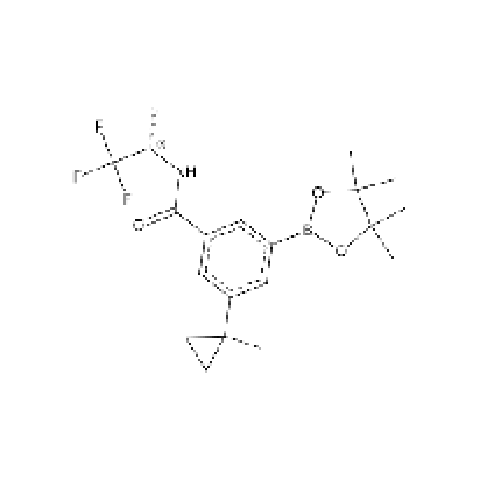 C[C@H](NC(=O)c1cc(B2OC(C)(C)C(C)(C)O2)cc(C2(C)CC2)c1)C(F)(F)F